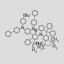 CC(C)(C)c1ccc(N(c2ccc(-c3ccccc3)cc2)c2ccc3c(c2)N(c2ccc(-c4ccccc4)cc2)B2c4cccc5c4N(c4cc6c(cc4C5(c4ccccc4)c4ccccc4)C(C)(C)CCC6(C)C)c4cc5c(c-3c42)-c2ccccc2C5(C)C)cc1